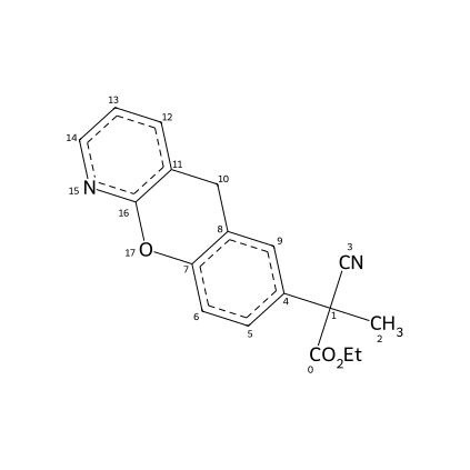 CCOC(=O)C(C)(C#N)c1ccc2c(c1)Cc1cccnc1O2